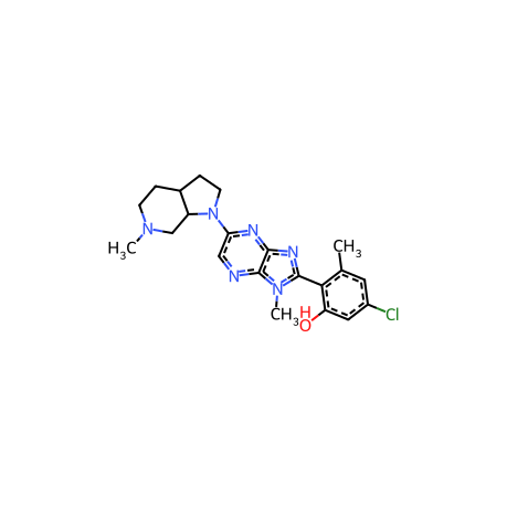 Cc1cc(Cl)cc(O)c1-c1nc2nc(N3CCC4CCN(C)CC43)cnc2n1C